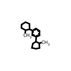 CC1CCCCC1c1[c]ccc(C2CCCCC2C)c1